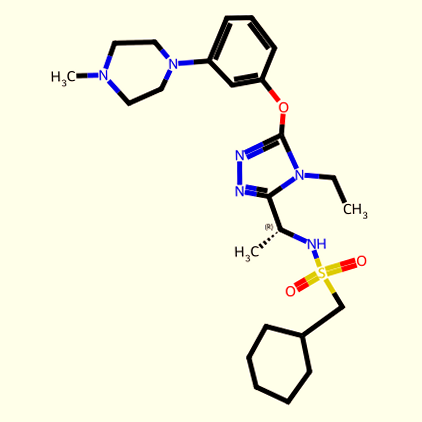 CCn1c(Oc2cccc(N3CCN(C)CC3)c2)nnc1[C@@H](C)NS(=O)(=O)CC1CCCCC1